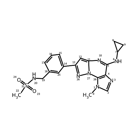 Cn1cnc2c(NC3CC3)nc3cc(-c4cccc(CNS(C)(=O)=O)c4)nn3c21